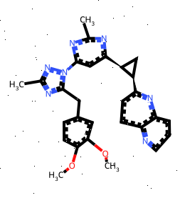 COc1ccc(Cc2nc(C)nn2-c2cc([C@H]3C[C@H]3c3ccc4ncccc4n3)nc(C)n2)cc1OC